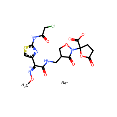 CO/N=C(\C(=O)NCC1CON(C2(C(=O)[O-])CCC(=O)O2)C1=O)c1csc(NC(=O)CCl)n1.[Na+]